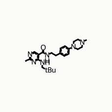 Cc1ncc(C(=O)NCCc2ccc(N3CCN(C)CC3)cc2)c(NCC(C)(C)C)n1